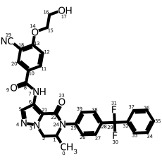 CC1Cn2ncc(NC(=O)c3ccc(OCCO)c(C#N)c3)c2C(=O)N1c1ccc(C(F)(F)c2ccccc2)cc1